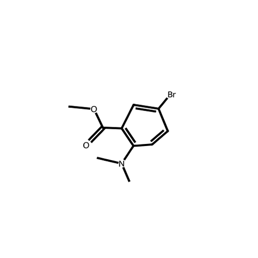 COC(=O)c1cc(Br)ccc1N(C)C